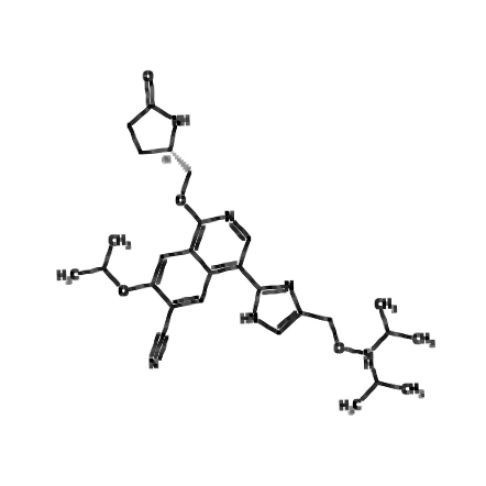 CC(C)Oc1cc2c(OC[C@@H]3CCC(=O)N3)ncc(-c3nc(CO[SiH](C(C)C)C(C)C)c[nH]3)c2cc1C#N